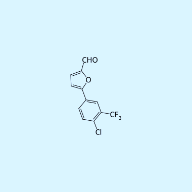 O=Cc1ccc(-c2ccc(Cl)c(C(F)(F)F)c2)o1